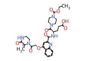 CCOC(=O)N1CCN(C(=O)C(CCC(=O)O)NC(=O)c2cc(OCC(=O)N3CCNC(=O)[C@@H]3C)c3ccccc3n2)CC1